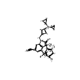 N#Cc1cc2c(c(C(F)(F)F)c1)C(O)(c1ccc(Cl)cc1Cl)C(=O)N2CC1CC(N(C2CC2)C2CC2)C1